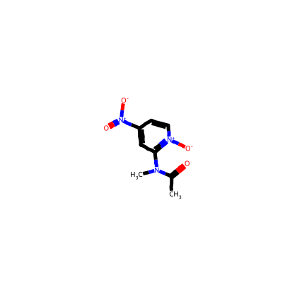 CC(=O)N(C)c1cc([N+](=O)[O-])cc[n+]1[O-]